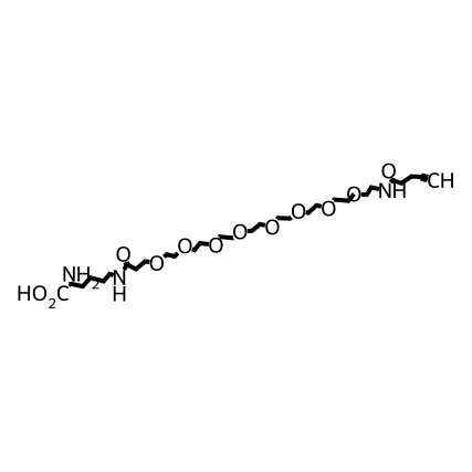 C#CCCC(=O)NCCOCCOCCOCCOCCOCCOCCOCCOCCC(=O)NCCCC[C@H](N)C(=O)O